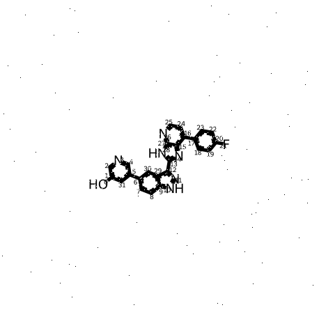 Oc1cncc(-c2ccc3[nH]nc(-c4nc5c(-c6ccc(F)cc6)ccnc5[nH]4)c3c2)c1